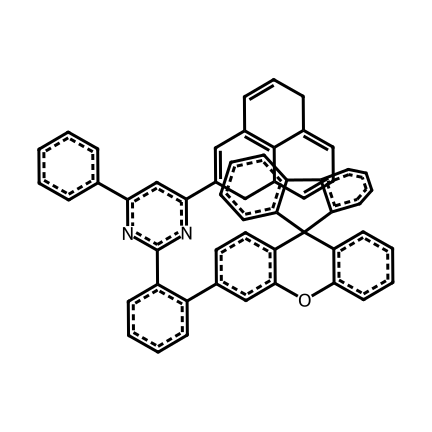 C1=CC2CC(c3cc(-c4ccccc4)nc(-c4ccccc4-c4ccc5c(c4)Oc4ccccc4C54c5ccccc5-c5ccccc54)n3)=CC3=C2C(=C1)CC=C3